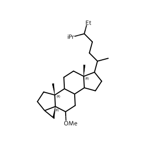 CCC(CCC(C)C1CCC2C3CC(OC)[C@]45CC4CC[C@]5(C)C3CC[C@]12C)C(C)C